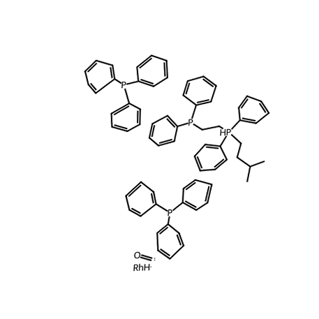 CC(C)CC[PH](CCP(c1ccccc1)c1ccccc1)(c1ccccc1)c1ccccc1.[C]=O.[RhH].c1ccc(P(c2ccccc2)c2ccccc2)cc1.c1ccc(P(c2ccccc2)c2ccccc2)cc1